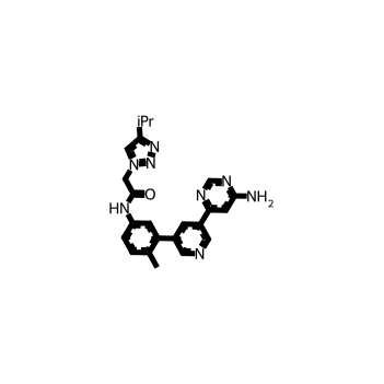 Cc1ccc(NC(=O)Cn2cc(C(C)C)nn2)cc1-c1cncc(-c2cc(N)ncn2)c1